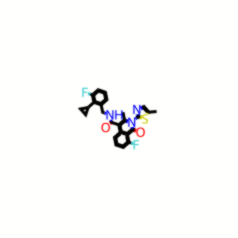 Cc1cnc(-n2c(C)c(C(=O)NCc3cccc(F)c3C3CC3)c3cccc(F)c3c2=O)s1